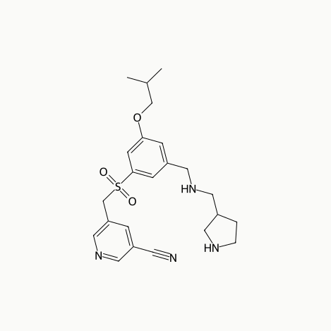 CC(C)COc1cc(CNCC2CCNC2)cc(S(=O)(=O)Cc2cncc(C#N)c2)c1